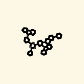 c1ccc(-c2ccc3cc(-c4ccc(-c5nc(-c6ccccc6)nc(-c6cccc(-n7c8ccccc8c8ccccc87)c6)n5)cc4-n4c5ccccc5c5ccccc54)ccc3c2)cc1